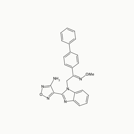 CON=C(Cn1c(-c2nonc2N)nc2ccccc21)c1ccc(-c2ccccc2)cc1